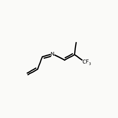 C=C/C=N\C=C(/C)C(F)(F)F